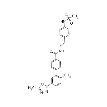 Cc1nnc(-c2ccc(C)c(-c3ccc(C(=O)NCCc4ccc(NS(C)(=O)=O)cc4)cc3)c2)o1